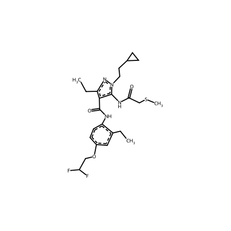 CCc1cc(OCC(F)F)ccc1NC(=O)c1c(CC)nn(CCC2CC2)c1NC(=O)CSC